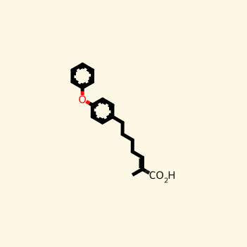 CC(=CCCCCc1ccc(Oc2ccccc2)cc1)C(=O)O